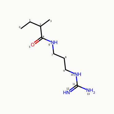 CCC(C)C(=O)NCCCNC(=N)N